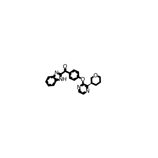 O=C(c1ccc(Oc2nccnc2[C@@H]2CCCOC2)cc1)c1nc2ccccc2[nH]1